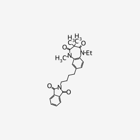 CCN1C(=O)C(C)(C)C(=O)N(C)c2cc(CCCCN3C(=O)c4ccccc4C3=O)ccc21